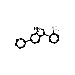 O=[N+]([O-])c1ccccc1-c1c[nH]c2cc(-c3ccccc3)ccc12